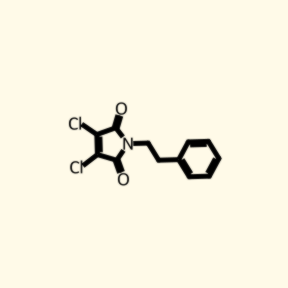 O=C1C(Cl)=C(Cl)C(=O)N1CCc1ccccc1